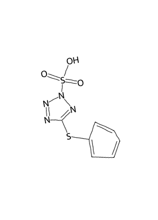 O=S(=O)(O)n1nnc(Sc2ccccc2)n1